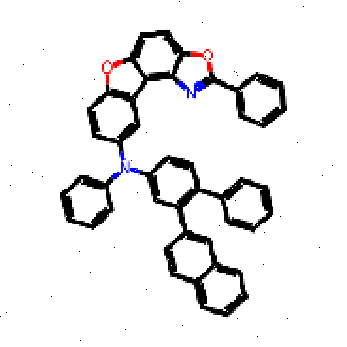 c1ccc(-c2nc3c(ccc4oc5ccc(N(c6ccccc6)c6ccc(-c7ccccc7)c(-c7ccc8ccccc8c7)c6)cc5c43)o2)cc1